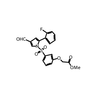 COC(=O)COc1cccc(S(=O)(=O)n2cc(C=O)cc2-c2ccccc2F)c1